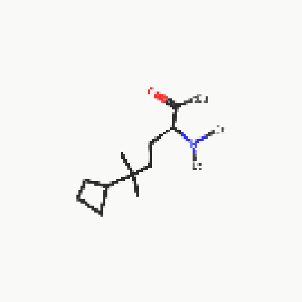 CCN(CC)[C@@H](CCC(C)(C)C1CCC1)C(=O)C(C)(C)C